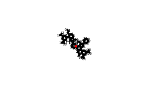 CCCc1ccc2c(c1-c1cc(C(C)C)cc(C(C)C)c1)C=C(c1ccccc1)C2C[SiH2]CC1C(c2ccccc2)=Cc2c1ccc(CCC)c2-c1cc(C(C)C)cc(C(C)C)c1